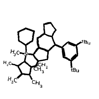 CC1CC2C(CC3CCCC3C2c2cc(C(C)(C)C)cc(C(C)(C)C)c2)C1[Si](C)(C1CCCCC1)C1C(C)C(C)C(C)C1C